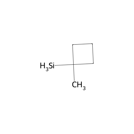 CC1([SiH3])CCC1